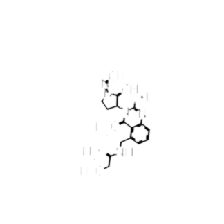 C=NN1CCC(N2C(=C)c3c(CNC(=C)CC)cccc3N=C2C)C1=C